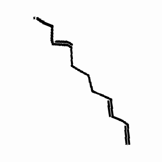 [CH2]CC=CCCCC=CC=C